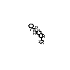 O=C(Nc1cc2cc(-c3cncs3)ncc2cn1)C1(F)CCCCC1